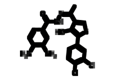 CC(=NNC(=O)c1ccc(N)c(N)c1)c1csc(-c2ccc(Cl)c(Cl)c2)c1O